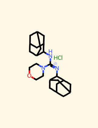 C1CN(/C(=N\C2C3CC4CC(C3)CC2C4)NC2C3CC4CC(C3)CC2C4)CCO1.Cl